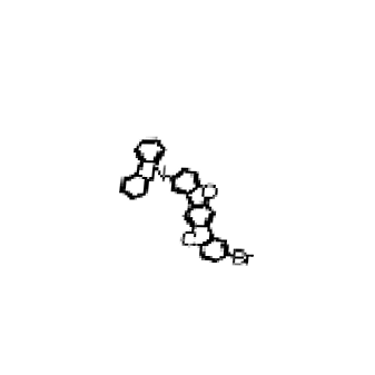 Brc1ccc2oc3cc4c(cc3c2c1)oc1ccc(-n2c3ccccc3c3ccccc32)cc14